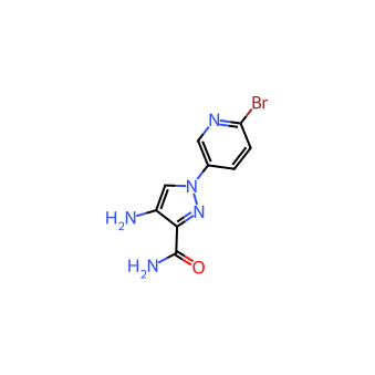 NC(=O)c1nn(-c2ccc(Br)nc2)cc1N